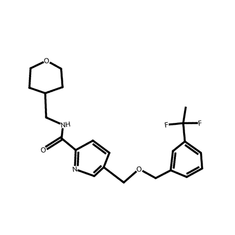 CC(F)(F)c1cccc(COCc2ccc(C(=O)NCC3CCOCC3)nc2)c1